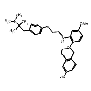 COc1ccc([C@@H]2CCc3cc(O)ccc3C2)c(NCCCc2ccc(CC(C)(C)N(C)C)cc2)c1